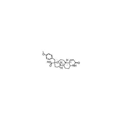 COc1ccc(CC2(C(=O)O)CC[C@H]3[C@@H]4CCC5NC(=O)C=C[C@]5(C)[C@@H]4CC[C@@]32C)cc1